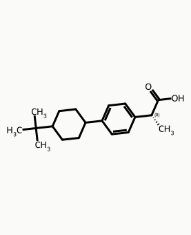 C[C@@H](C(=O)O)c1ccc(C2CCC(C(C)(C)C)CC2)cc1